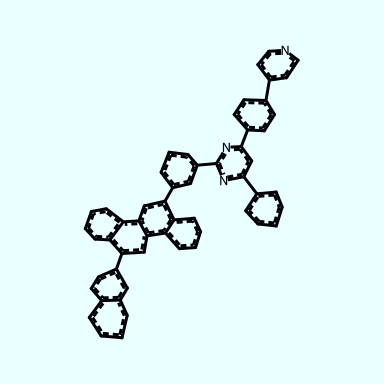 c1ccc(-c2cc(-c3ccc(-c4ccncc4)cc3)nc(-c3cccc(-c4cc5c6ccccc6c(-c6ccc7ccccc7c6)cc5c5ccccc45)c3)n2)cc1